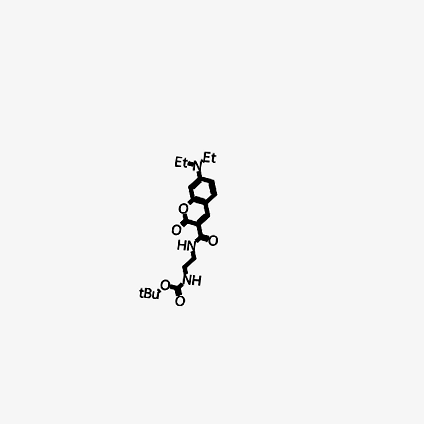 CCN(CC)c1ccc2cc(C(=O)NCCNC(=O)OC(C)(C)C)c(=O)oc2c1